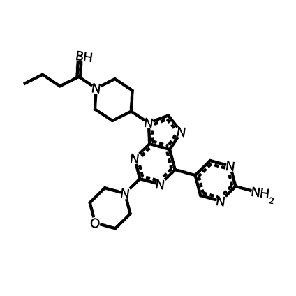 B=C(CCC)N1CCC(n2cnc3c(-c4cnc(N)nc4)nc(N4CCOCC4)nc32)CC1